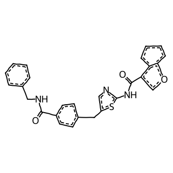 O=C(NCc1ccccc1)c1ccc(Cc2cnc(NC(=O)c3coc4ccccc34)s2)cc1